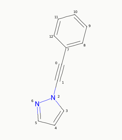 C(#Cn1cccn1)c1ccccc1